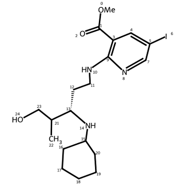 COC(=O)c1cc(I)cnc1NCC[C@H](NC1CCCCC1)C(C)CO